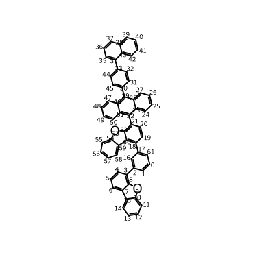 c1cc(-c2cccc3c2oc2ccccc23)cc(-c2ccc(-c3c4ccccc4c(-c4ccc(-c5cccc6ccccc56)cc4)c4ccccc34)c3oc4ccccc4c23)c1